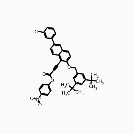 CC(C)(C)c1cc(COc2ccc3cc(-c4cccc(Cl)c4)ccc3c2C#CC(=O)Oc2ccc([N+](=O)[O-])cc2)cc(C(C)(C)C)c1